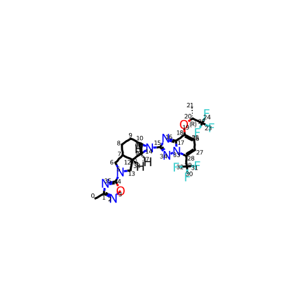 Cc1noc(N2CC3CC[C@@H]4[C@H]([C@@H]3C2)N4c2nc3c(O[C@H](C)C(F)(F)F)ccc(C(F)(F)F)n3n2)n1